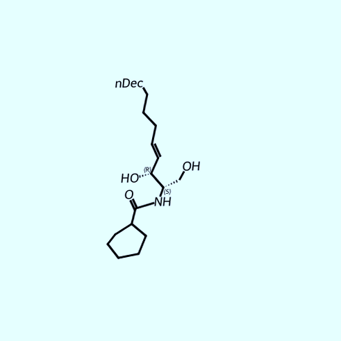 CCCCCCCCCCCCCC=C[C@@H](O)[C@H](CO)NC(=O)C1CCCCC1